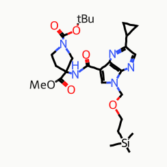 COC(=O)C1(NC(=O)c2cn(COCC[Si](C)(C)C)c3ncc(C4CC4)nc23)CCN(C(=O)OC(C)(C)C)C1